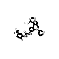 Nc1ncnn2cc(CNc3cccnc3)c(-c3ccc(NC(=O)Nc4cc(C(F)(F)F)ccc4F)cc3)c12